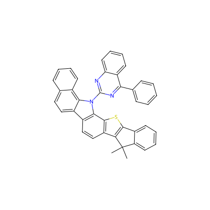 CC1(C)c2ccccc2-c2sc3c(ccc4c5ccc6ccccc6c5n(-c5nc(-c6ccccc6)c6ccccc6n5)c43)c21